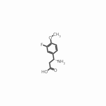 COc1ccc([C@H](N)CC(=O)O)cc1F